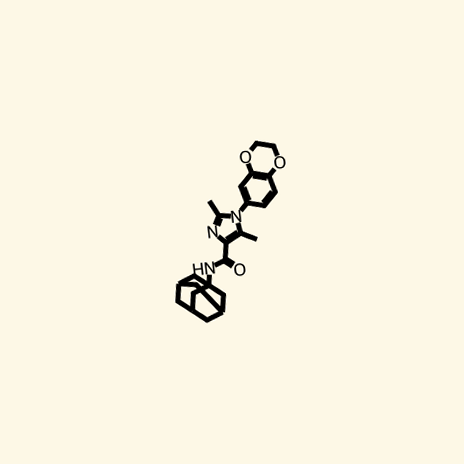 Cc1nc(C(=O)NC23CC4CC(CC(C4)C2)C3)c(C)n1-c1ccc2c(c1)OCCO2